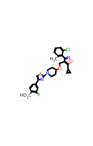 Cc1cccc(Cl)c1-c1noc(C2CC2)c1COC1CCN(c2nc(-c3ccc(C(=O)O)c(F)c3)cs2)CC1